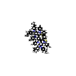 Cc1ccc(N2c3cc4c(cc3B3c5c2cc(N(c2ccc(C(C)(C)C)cc2)c2ccc(C(C)(C)C)cc2)cc5N(c2ccc(C)cc2)c2sc5ccccc5c23)B2c3sc5ccccc5c3N(c3ccc(C)cc3)c3cc(N(c5ccc(C(C)(C)C)cc5)c5ccc(C(C)(C)C)cc5)cc(c32)N4c2ccc(C)cc2)cc1